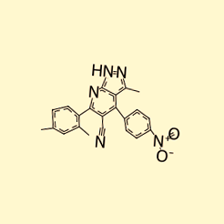 Cc1ccc(-c2nc3[nH]nc(C)c3c(-c3ccc([N+](=O)[O-])cc3)c2C#N)c(C)c1